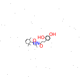 CC(CC(=O)C1C(C)C=CCC1(C)C)NC(=O)CCc1ccc(O)cc1O